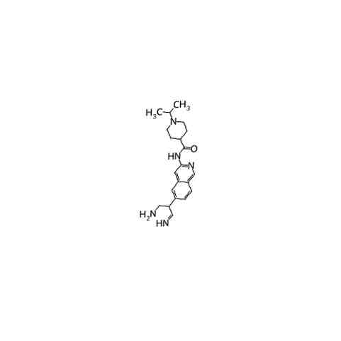 CC(C)N1CCC(C(=O)Nc2cc3cc(C(C=N)CN)ccc3cn2)CC1